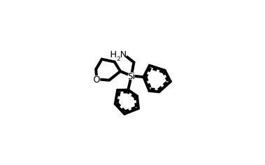 NC[Si](c1ccccc1)(c1ccccc1)C1CCCOC1